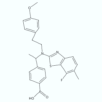 COc1ccc(CCN(c2nc3ccc(C)c(F)c3s2)C(C)c2ccc(C(=O)O)cc2)cc1